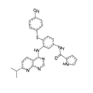 CC(C)c1ccc2c(Nc3cc(NC(=O)c4ccc[nH]4)ccc3Sc3ccc(O)cc3)ncnc2n1